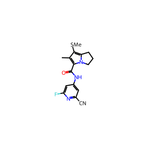 CSc1c(C)c(C(=O)Nc2cc(F)nc(C#N)c2)n2c1CCC2